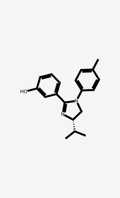 Cc1ccc(N2C[C@H](C(C)C)N=C2c2cccc(O)c2)cc1